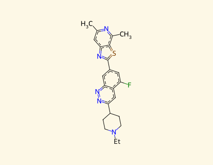 CCN1CCC(c2cc3c(F)cc(-c4nc5cc(C)nc(C)c5s4)cc3nn2)CC1